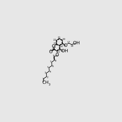 CCCCCCCCC=COc1c(O)c2c(OCCO)cccc2oc1=O